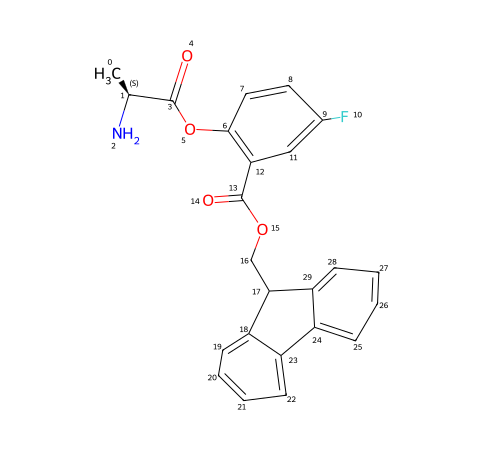 C[C@H](N)C(=O)Oc1ccc(F)cc1C(=O)OCC1c2ccccc2-c2ccccc21